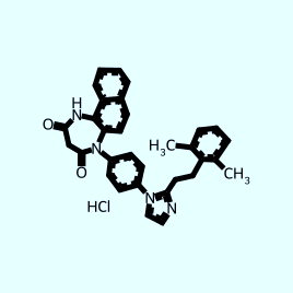 Cc1cccc(C)c1CCc1nccn1-c1ccc(N2C(=O)CC(=O)Nc3c2ccc2ccccc32)cc1.Cl